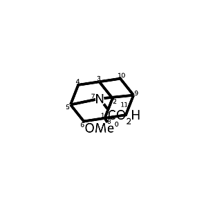 COC12CC3CC(C1)N(C(=O)O)C(C3)C2